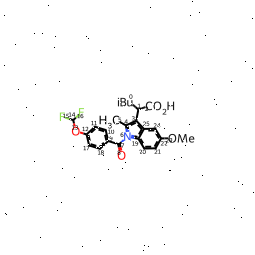 CCC(C)C(C(=O)O)c1c(C)n(C(=O)c2ccc(OC(F)F)cc2)c2ccc(OC)cc12